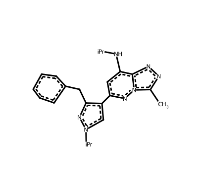 Cc1nnc2c(NC(C)C)cc(-c3cn(C(C)C)nc3Cc3ccccc3)nn12